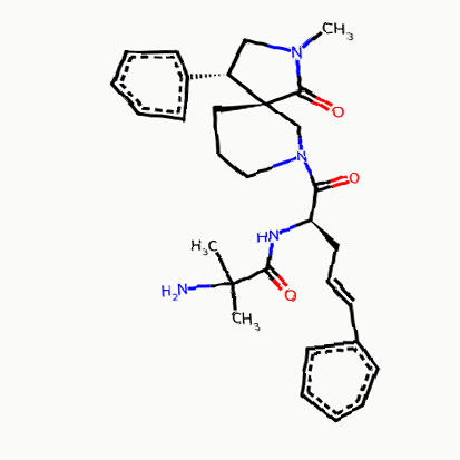 CN1C[C@@H](c2ccccc2)[C@]2(CCCN(C(=O)[C@@H](CC=Cc3ccccc3)NC(=O)C(C)(C)N)C2)C1=O